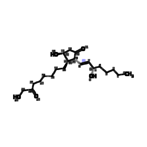 CCCCC[C@H](O)/C=C/[C@H]1C(=O)C[C@H](O)[C@@H]1CCCCCCC(=O)CO